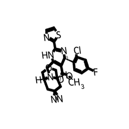 COC(=O)C1=C(CN2[C@@H]3COC[C@H]2CC2(C3)N=N2)NC(c2nccs2)=N[C@H]1c1ccc(F)cc1Cl